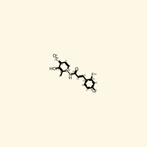 CC1=C(O)C(=C=O)C=CN1NC(=O)/C=C/c1ccc(F)cc1F